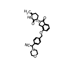 C=C1CC[C@H](N2Cc3c(OCc4ccc(C(C#N)N5CCOCC5)cc4)cccc3C2=O)C(=O)N1